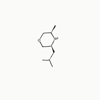 CC(C)C[C@H]1COC[C@@H](C)N1